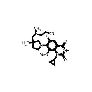 COc1c(N2CCC(C)(CN(C)CCC#N)C2)c(F)cc2c(=O)[nH]c(=O)n(C3CC3)c12